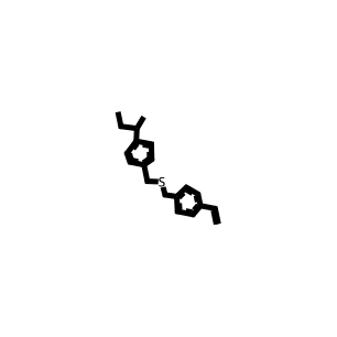 C=Cc1ccc(CSCc2ccc(C(C)CC)cc2)cc1